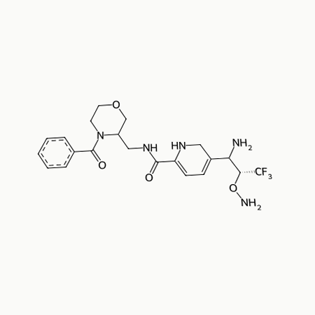 NO[C@H](C(N)C1=CC=C(C(=O)NCC2COCCN2C(=O)c2ccccc2)NC1)C(F)(F)F